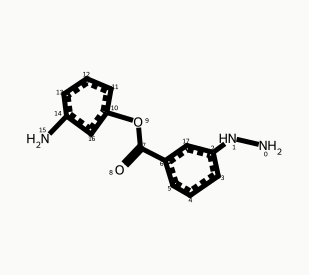 NNc1cccc(C(=O)Oc2cccc(N)c2)c1